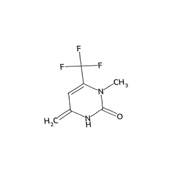 C=C1C=C(C(F)(F)F)N(C)C(=O)N1